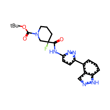 CC(C)(C)OC(=O)N1CCC[C@](F)(C(=O)Nc2ccc(-c3cccc4[nH]ncc34)nn2)C1